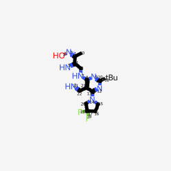 C/C(=N/O)C(=N)CNc1nc(C(C)(C)C)nc(N2CCC(F)(F)C2)c1C=N